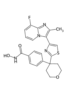 Cc1nc2c(F)cccn2c1-c1csc(C2(c3ccc(C(=O)NO)cc3)CCOCC2)n1